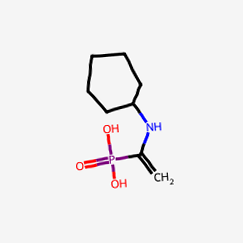 C=C(NC1CCCCC1)P(=O)(O)O